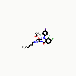 CCCCCNCC1(OC(C)=O)CN(C(=O)c2ccc(F)c(F)c2Nc2ccc(I)cc2F)C1